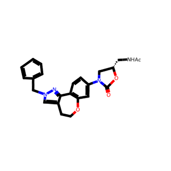 CC(=O)NC[C@H]1CN(c2ccc3c(c2)OCCc2cn(Cc4ccccc4)nc2-3)C(=O)O1